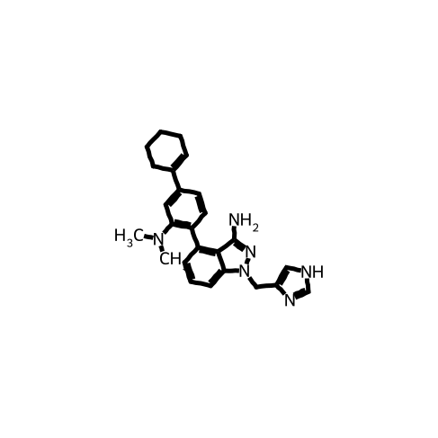 CN(C)c1cc(C2=CCCCC2)ccc1-c1cccc2c1c(N)nn2Cc1c[nH]cn1